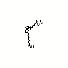 NC(=O)CCCC=CC[C@@H]1[C@@H](O)CC[C@@H]1C=CCCCCCCO